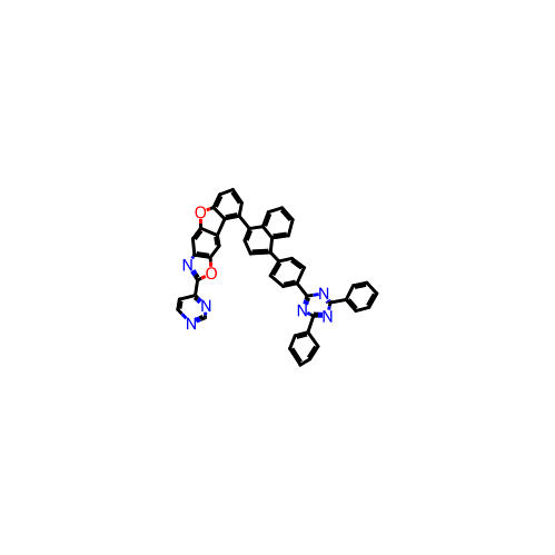 c1ccc(-c2nc(-c3ccccc3)nc(-c3ccc(-c4ccc(-c5cccc6oc7cc8nc(-c9ccncn9)oc8cc7c56)c5ccccc45)cc3)n2)cc1